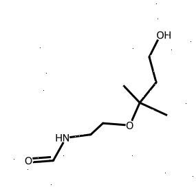 CC(C)(CCO)OCCNC=O